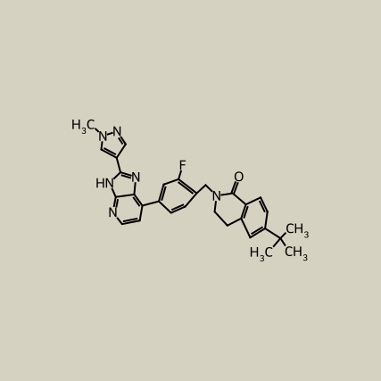 Cn1cc(-c2nc3c(-c4ccc(CN5CCc6cc(C(C)(C)C)ccc6C5=O)c(F)c4)ccnc3[nH]2)cn1